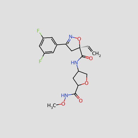 C=C[C@]1(C(=O)NC2COC(C(=O)NOC)C2)CC(c2cc(F)cc(F)c2)=NO1